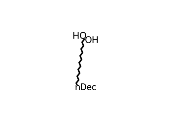 CCCCCCCCCCCCCCCCCCCCCCCC(O)O